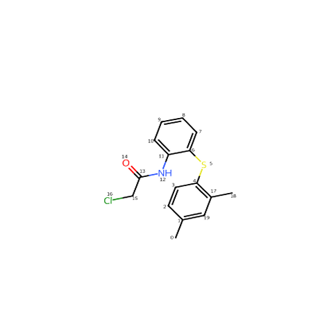 Cc1ccc(Sc2ccccc2NC(=O)CCl)c(C)c1